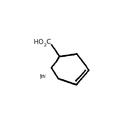 O=C(O)C1CC=CCC1.[In]